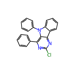 Clc1nc(-c2ccccc2)c2c(n1)c1ccccc1n2-c1ccccc1